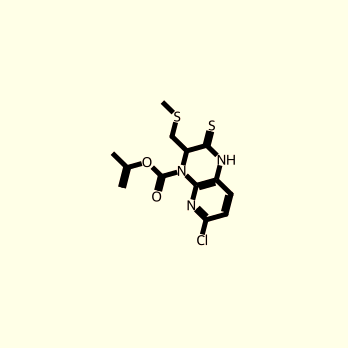 C=C(C)OC(=O)N1c2nc(Cl)ccc2NC(=S)C1CSC